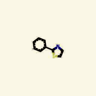 [c]1cccc(-c2nccs2)c1